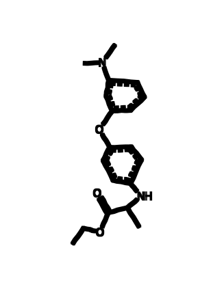 CCOC(=O)C(C)Nc1ccc(Oc2cccc(N(C)C)c2)cc1